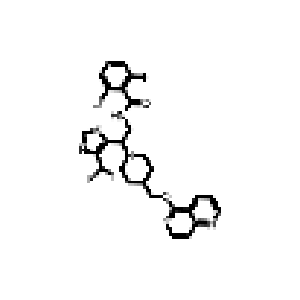 O=C(NCC(c1scnc1C(F)F)N1CCC(COc2nccc3ncccc23)CC1)c1c(F)cccc1Cl